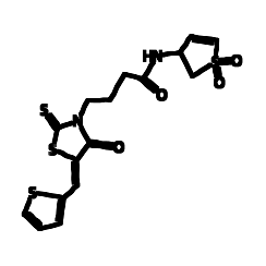 O=C(CCCN1C(=O)/C(=C/c2cccs2)SC1=S)NC1C=CS(=O)(=O)C1